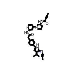 CC#C/N=C1/NC(c2ccc(CC(=O)Nc3cc(N4CCCC(NC(=O)C#CC)C4)ccn3)cc2)=CC1=C(C)C